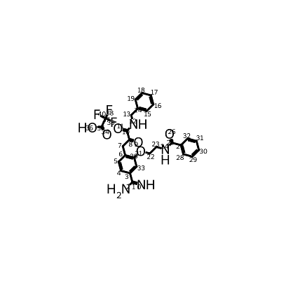 N=C(N)c1ccc(CC(=O)C(=O)NCc2ccccc2)c(OCCNC(=O)c2ccccc2)c1.O=C(O)C(F)(F)F